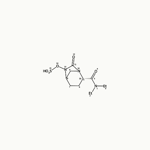 CCN(CC)C(=O)[C@@H]1CCC2CN1C(=O)N2OS(=O)(=O)O